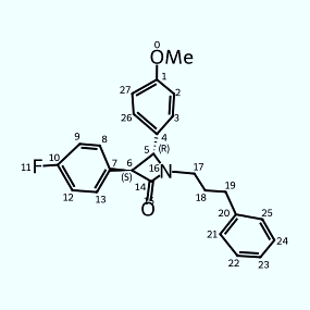 COc1ccc([C@H]2[C@H](c3ccc(F)cc3)C(=O)N2CCCc2ccccc2)cc1